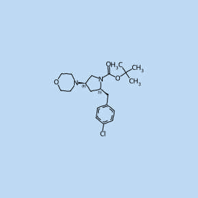 CC(C)(C)OC(=O)N1C[C@H](N2CCOCC2)C[C@@H]1Cc1ccc(Cl)cc1